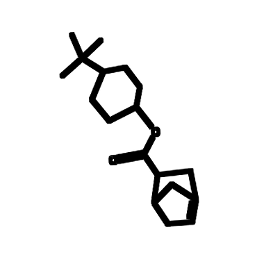 CC(C)(C)C1CCC(OC(=O)C2CC3=CCC2C3)CC1